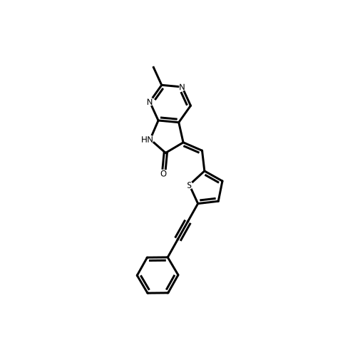 Cc1ncc2c(n1)NC(=O)C2=Cc1ccc(C#Cc2ccccc2)s1